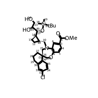 COC(=O)c1ccc2c(c1)N(C[C@@H]1CC[C@H]1[C@@H](O[Si](C)(C)C(C)(C)C)[C@H](O)CO)C[C@@]1(CCCc3cc(Cl)ccc31)CO2